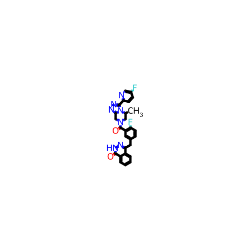 CC1CN(C(=O)c2cc(Cc3n[nH]c(=O)c4ccccc34)ccc2F)Cc2nnc(-c3ccc(F)cn3)n21